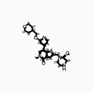 Cn1cc(-c2ccnc(OCC3CCOCC3)c2)c2sc(CN3CCNCC3=O)cc2c1=O